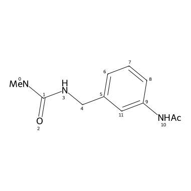 CNC(=O)NCc1cccc(NC(C)=O)c1